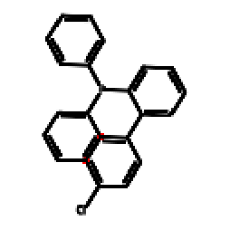 Clc1ccc(-c2ccccc2P(c2ccccc2)c2ccccc2)cc1